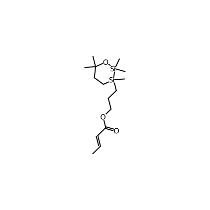 CC=CC(=O)OCCC[Si]1(C)CCC(C)(C)O[Si]1(C)C